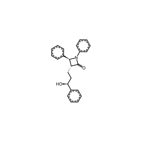 O=C1[C@H](CC[C@H](O)c2ccccc2)[C@@H](c2ccccc2)N1c1ccccc1